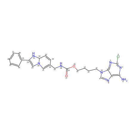 Nc1nc(Cl)nc2c1ncn2CCCCOC(=O)NCC1=CN2C=C(c3ccccc3)NC2C=C1